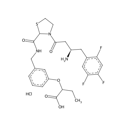 CCC(Oc1cccc(CNC(=O)C2SCCN2C(=O)C[C@H](N)Cc2cc(F)c(F)cc2F)c1)C(=O)O.Cl